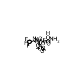 COC1C(SC2COCC(N)C2O)OC(COC(C)=O)C(OC(C)=O)C1n1cc(-c2cc(F)c(F)c(F)c2)nn1